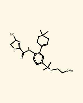 COCCNC(C)(C)c1ccc(NC(=O)C2=NC(C#N)CN2)c(C2=CCC(C)(C)CC2)c1